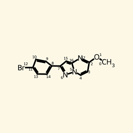 COc1ccn2nc(-c3ccc(Br)cc3)cc2n1